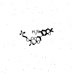 CN(C[C@H]1OC[C@@H](c2cc3c(cc2N)CC(C)(C)O3)CO1)C(=O)OCCS(C)(C)C